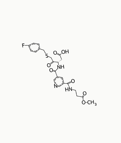 COC(=O)CCNC(=O)c1cncc(C(=O)N[C@@H](CC(=O)O)C(=O)CSCc2ccc(F)cc2)c1